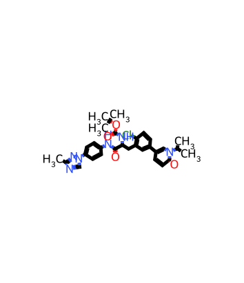 Cc1ncn(-c2ccc(NC(=O)C(Cc3cc(-c4ccc(=O)n(C(C)C)c4)ccc3Cl)NC(=O)OC(C)(C)C)cc2)n1